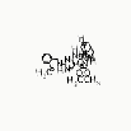 CSc1ccccc1CNc1ncc(C#N)c(NC[C@@]23CC4C[C@H](C2)[C@@H](NCC[C@H]2COC(C)(C)O2)[C@@H](C4)C3)n1